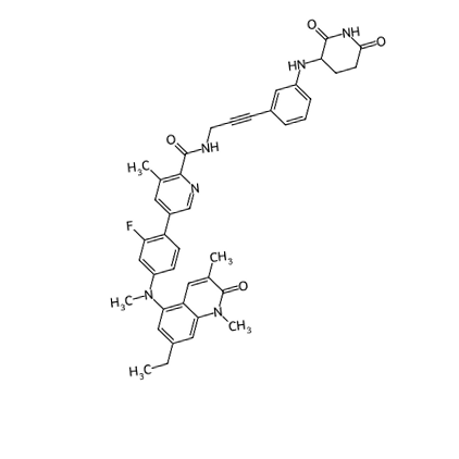 CCc1cc(N(C)c2ccc(-c3cnc(C(=O)NCC#Cc4cccc(NC5CCC(=O)NC5=O)c4)c(C)c3)c(F)c2)c2cc(C)c(=O)n(C)c2c1